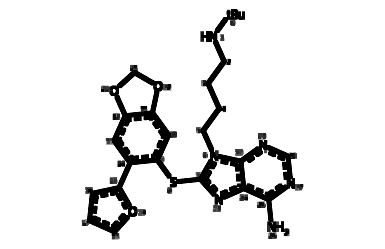 CC(C)(C)NCCCCn1c(Sc2cc3c(cc2-c2ccco2)OCO3)nc2c(N)ncnc21